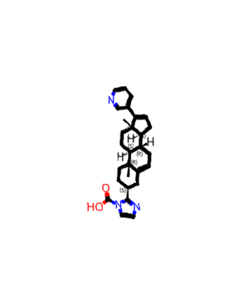 C[C@]12CC[C@H](c3nccn3C(=O)O)CC1=CC[C@@H]1[C@@H]2CC[C@]2(C)C(c3cccnc3)=CC[C@@H]12